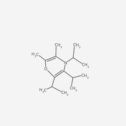 CC1=C(C)N(C(C)C)C(C(C)C)=C(C(C)C)O1